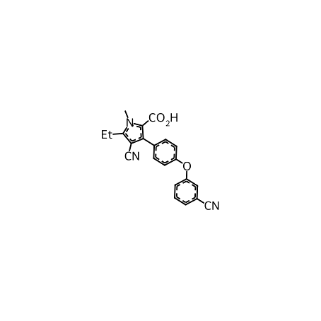 CCc1c(C#N)c(-c2ccc(Oc3cccc(C#N)c3)cc2)c(C(=O)O)n1C